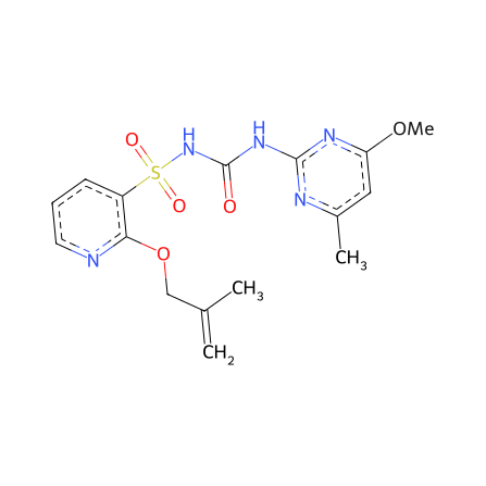 C=C(C)COc1ncccc1S(=O)(=O)NC(=O)Nc1nc(C)cc(OC)n1